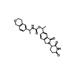 CC(NC(=O)OC(C)c1ccc2c(c1)C(=O)N(C1CCC(=O)NC1=O)C2)c1ccc2c(c1)CCOC2